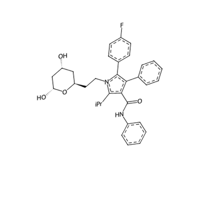 CC(C)c1c(C(=O)Nc2ccccc2)c(-c2ccccc2)c(-c2ccc(F)cc2)n1CC[C@@H]1C[C@@H](O)C[C@@H](O)O1